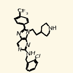 FC(F)(F)c1ccc(-c2nc3cnc(NCc4ccccc4Cl)nc3n2CCC2CCNCC2)cc1